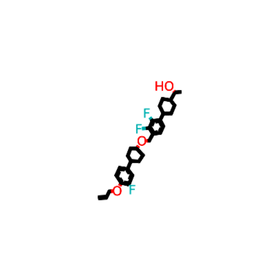 C=CCOc1ccc(C2CCC(OCc3ccc(C4CCC(C(C)O)CC4)c(F)c3F)CC2)cc1F